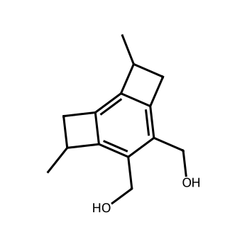 CC1Cc2c(CO)c(CO)c3c(c21)CC3C